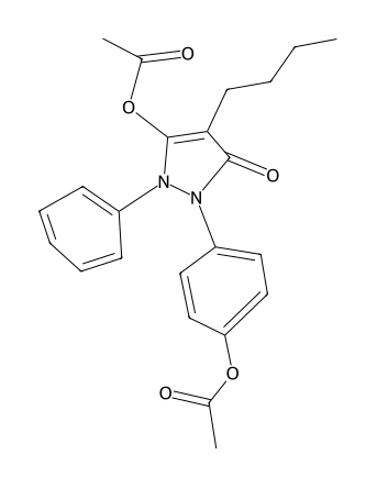 CCCCc1c(OC(C)=O)n(-c2ccccc2)n(-c2ccc(OC(C)=O)cc2)c1=O